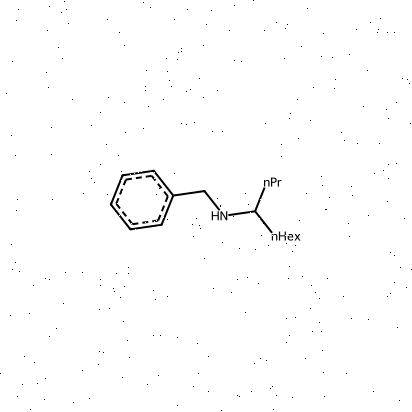 CCCCCCC(CCC)NCc1ccccc1